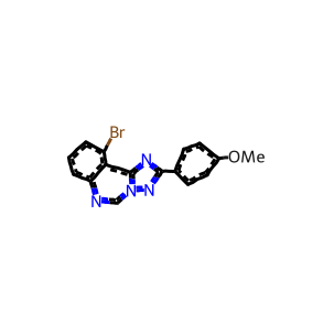 COc1ccc(-c2nc3c4c(Br)cccc4ncn3n2)cc1